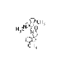 Cc1cccc2c1CCC21CCC(=O)N(CC2Cc3c(C)cccc3C23CCN(C)C3)C1